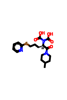 CC1CCN(C(=O)[C@H](CCCSc2ccccn2)N(C(=O)O)C(=O)O)CC1